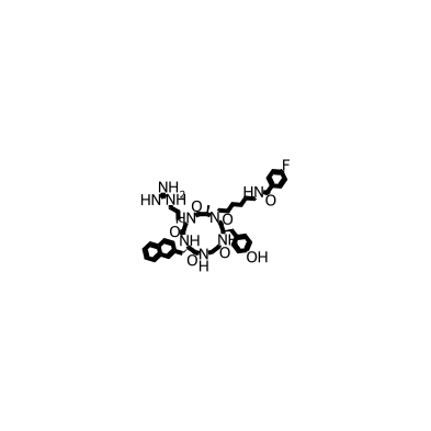 C[C@@H]1C(=O)N[C@@H](CCCNC(=N)N)C(=O)N[C@@H](Cc2ccc3ccccc3c2)C(=O)NCC(=O)N[C@H](Cc2ccc(O)cc2)C(=O)N1CCCCCCNC(=O)c1ccc(F)cc1